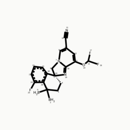 BC1(B)CC[C@@]2(CN3C=C(C#N)C=C(OC(F)F)C3=N2)c2cccc(F)c21